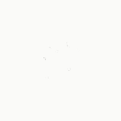 CCNc1n[nH]c(C)c1C